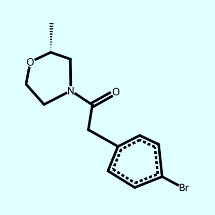 C[C@@H]1CN(C(=O)Cc2ccc(Br)cc2)CCO1